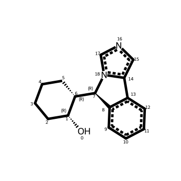 O[C@@H]1CCCC[C@@H]1[C@@H]1c2ccccc2-c2cncn21